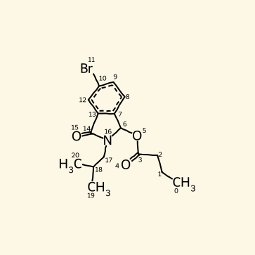 CCCC(=O)OC1c2ccc(Br)cc2C(=O)N1CC(C)C